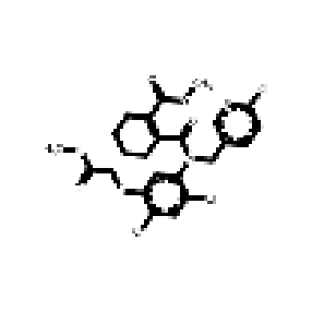 COC(=O)CSc1cc(N(Cc2ccc(Cl)nc2)C(=O)C2=C(C(=O)OC)CCCC2)c(Cl)cc1Cl